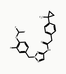 O=C(Cc1ccc(C2(C(F)(F)F)CC2)cc1)Nc1cnn(Cc2ccc(OC(F)F)c(F)c2)n1